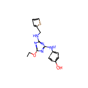 CCOc1nc(NCc2cccs2)nc(Nc2ccc(O)cc2)n1